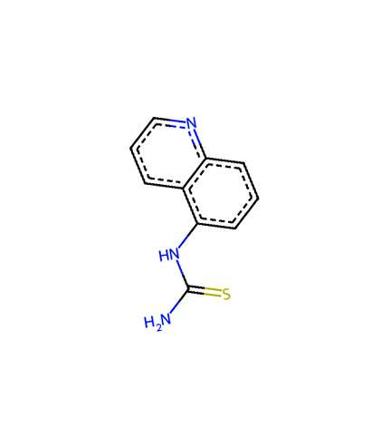 NC(=S)Nc1cccc2ncccc12